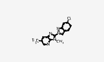 Cn1c(-n2cc3ccc(Cl)cc3n2)nc2cc(C(F)(F)F)cnc21